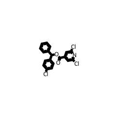 O=C(OC(c1ccccc1)c1ccc(Cl)cc1)c1cc(Cl)nc(Cl)c1